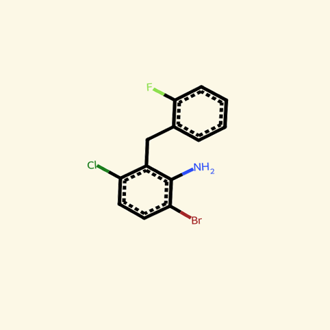 Nc1c(Br)ccc(Cl)c1Cc1ccccc1F